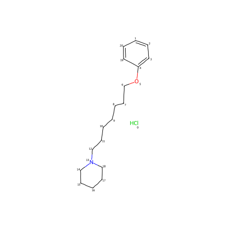 Cl.c1ccc(OCCCCCCCN2CCCCC2)cc1